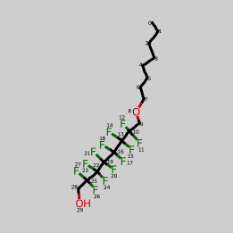 CCCCCCCCOCC(F)(F)C(F)(F)C(F)(F)C(F)(F)C(F)(F)C(F)(F)CO